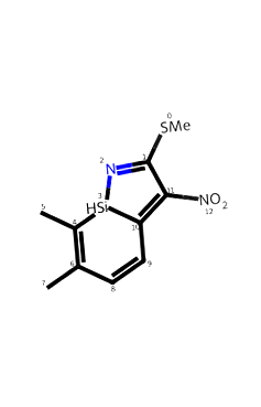 CSC1=N[SiH]2C(C)=C(C)C=CC2=C1[N+](=O)[O-]